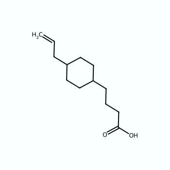 C=CCC1CCC(CCCC(=O)O)CC1